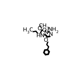 CCCC[C@@H](Nc1nc(N)ncc1OCCCc1ccccc1)C(=O)OC